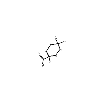 CC1(C(=O)Cl)CCC(F)(F)CC1